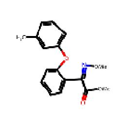 CON=C(C(=O)OC)c1ccccc1Oc1cccc(C)c1